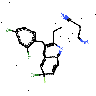 CCC1=C(c2ccc(Cl)cc2Cl)C2=CC(F)(Cl)C=CC2=N1.N#CCCN